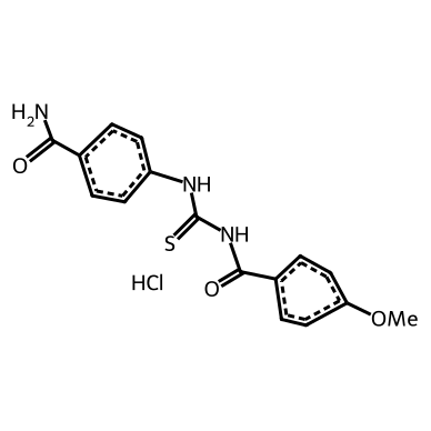 COc1ccc(C(=O)NC(=S)Nc2ccc(C(N)=O)cc2)cc1.Cl